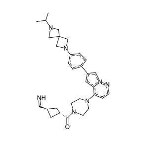 CC(C)N1CC2(CN(c3ccc(-c4cc5c(N6CCN(C(=O)[C@H]7C[C@H](C=N)C7)CC6)ccnn5c4)cc3)C2)C1